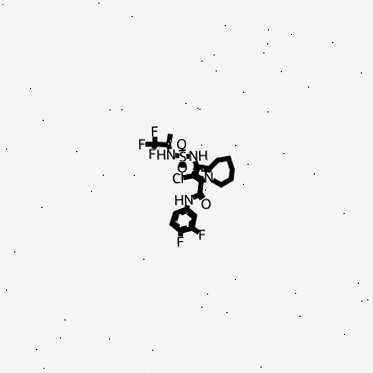 CC(NS(=O)(=O)Nc1c(Cl)c(C(=O)Nc2ccc(F)c(F)c2)n2c1CCCCC2)C(F)(F)F